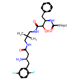 CCCCCCCC(=O)NC(Cc1ccccc1)C(O)C(=O)NCC(C)(C)CNC(=O)CC(N)Cc1cc(F)ccc1F